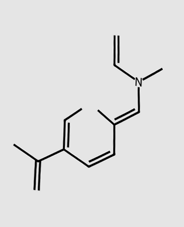 C=CN(C)/C=C(C)/C=C\C(=C/C)C(=C)C